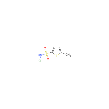 Cc1ccc(S(=O)(=O)NCl)s1